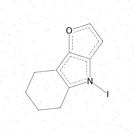 In1c2c(c3occc31)CCCC2